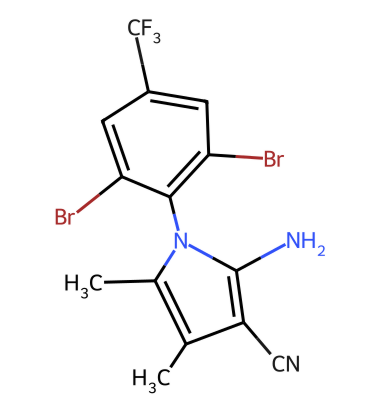 Cc1c(C#N)c(N)n(-c2c(Br)cc(C(F)(F)F)cc2Br)c1C